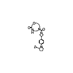 O=C1COCCCN(C(=O)N2CC(c3ccc(N4CCCC4C4CC4)cc3)C2)CCN1